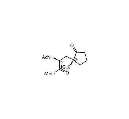 COC(=O)[C@H](C[C@@]1(C(=O)O)CCCC1=O)NC(C)=O